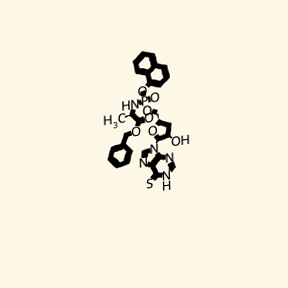 C[C@H](NP(=O)(OC[C@@H]1C[C@H](O)[C@H](n2cnc3c(=S)[nH]cnc32)O1)Oc1cccc2ccccc12)C(=O)OCc1ccccc1